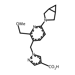 COCc1nc(N2CC3CC3C2)ccc1Cn1cc(C(=O)O)cn1